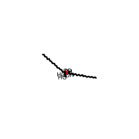 CCCCCCCCC=CCCCCCCCC(=O)C(O)(P)C(O)(CO)C(=O)CCCCCCCCCCCCCCCCC